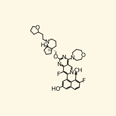 C#Cc1c(F)ccc2cc(O)cc(-c3ncc4c(N5CCCOCC5)nc(OC[C@]56CCC[C@H]5N(CCC5CCCO5)CCC6)nc4c3F)c12